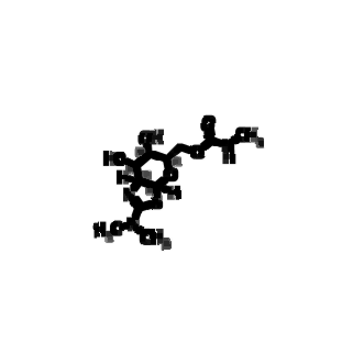 CNC(=O)OC[C@H]1O[C@@H]2SC(N(C)C)=N[C@@H]2[C@@H](O)[C@H]1O